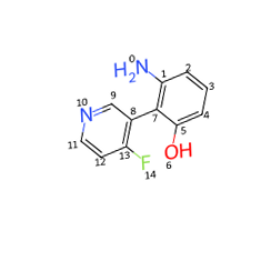 Nc1cccc(O)c1-c1cnccc1F